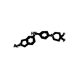 CC(=O)N1Cc2ccc(Nc3ccc(N4CCC(F)(F)CC4)cc3)cc2C1